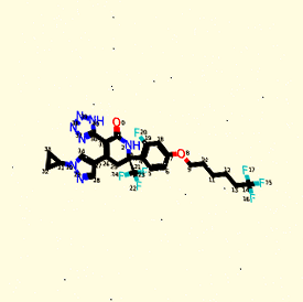 O=C1N[C@@](c2ccc(OCCCCCC(F)(F)F)cc2F)(C(F)(F)F)CC(c2cnn(C3CC3)c2)=C1c1nnn[nH]1